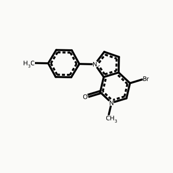 Cc1ccc(-n2ccc3c(Br)cn(C)c(=O)c32)cc1